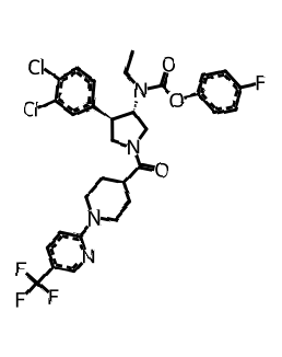 CCN(C(=O)Oc1ccc(F)cc1)[C@@H]1CN(C(=O)C2CCN(c3ccc(C(F)(F)F)cn3)CC2)C[C@H]1c1ccc(Cl)c(Cl)c1